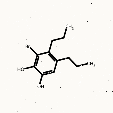 CCCc1cc(O)c(O)c(Br)c1CCC